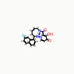 O=C1c2c(O)c(=O)ccn2N2CN1C/C=C\CC2c1cccc2ccc(F)cc12